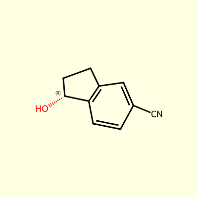 N#Cc1ccc2c(c1)CC[C@H]2O